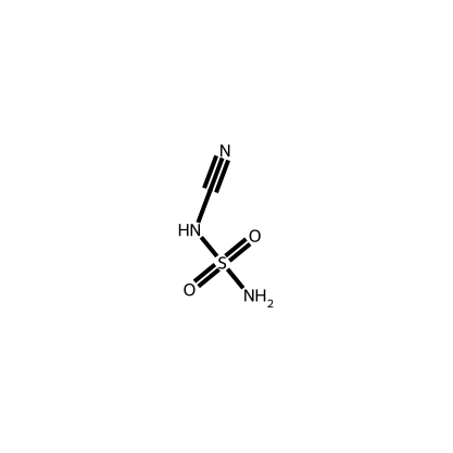 N#CNS(N)(=O)=O